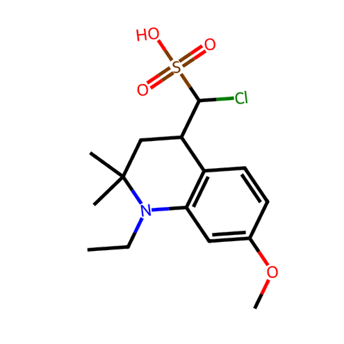 CCN1c2cc(OC)ccc2C(C(Cl)S(=O)(=O)O)CC1(C)C